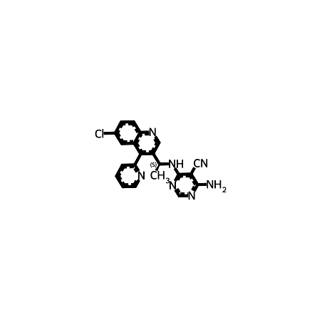 C[C@H](Nc1ncnc(N)c1C#N)c1cnc2ccc(Cl)cc2c1-c1ccccn1